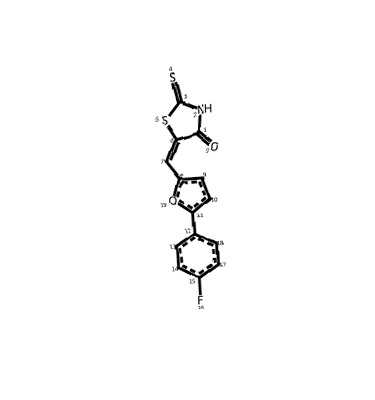 O=C1NC(=S)SC1=Cc1ccc(-c2ccc(F)cc2)o1